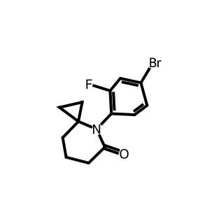 O=C1CCCC2(CC2)N1c1ccc(Br)cc1F